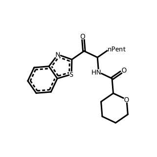 CCCCCC(NC(=O)C1CCCCO1)C(=O)c1nc2ccccc2s1